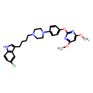 COc1cc(OC)nc(Oc2ccc(N3CCN(CCCCc4c[nH]c5ccc(Cl)cc45)CC3)cc2)n1